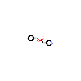 O=C(Cc1ccncc1)OCc1ccccc1